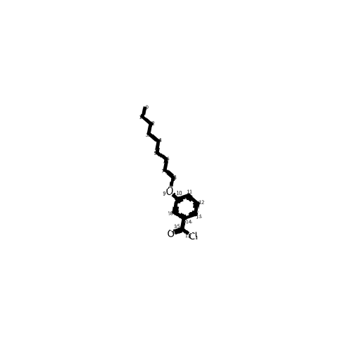 CCCCCCCCCOc1cccc(C(=O)Cl)c1